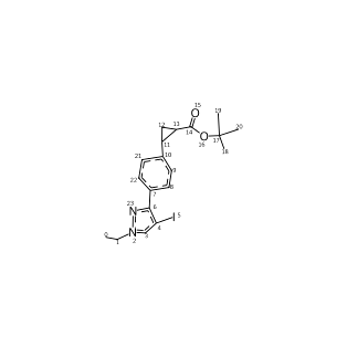 CCn1cc(I)c(-c2ccc(C3CC3C(=O)OC(C)(C)C)cc2)n1